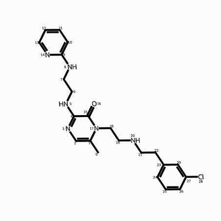 Cc1cnc(NCCNc2ccccn2)c(=O)n1CCNCCc1cccc(Cl)c1